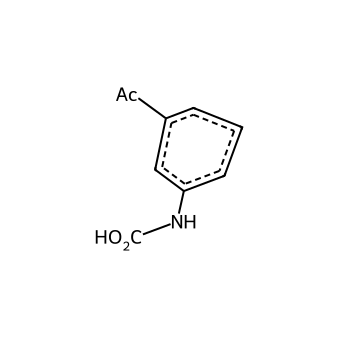 CC(=O)c1cccc(NC(=O)O)c1